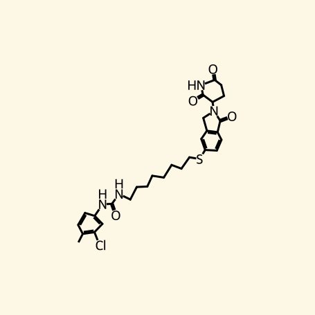 Cc1ccc(NC(=O)NCCCCCCCCSc2ccc3c(c2)CN(C2CCC(=O)NC2=O)C3=O)cc1Cl